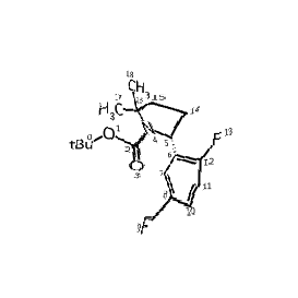 CC(C)(C)OC(=O)N1[C@@H](c2cc(F)ccc2F)CCC1(C)C